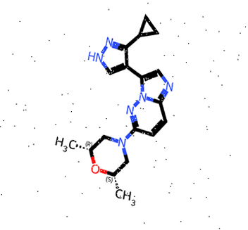 C[C@@H]1CN(c2ccc3ncc(-c4c[nH]nc4C4CC4)n3n2)C[C@H](C)O1